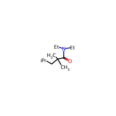 CCN(CC)C(=O)C(C)(C)CC(C)C